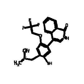 CN(O)Cc1cc(OCC(F)(F)F)c(-c2c[nH]c(=O)c3ccccc23)cc1S